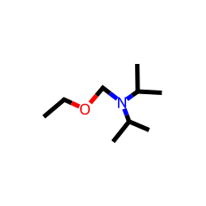 CCOCN(C(C)C)C(C)C